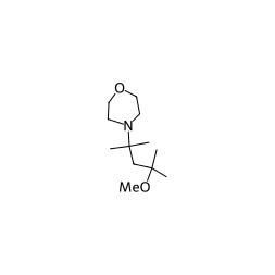 COC(C)(C)CC(C)(C)N1CCOCC1